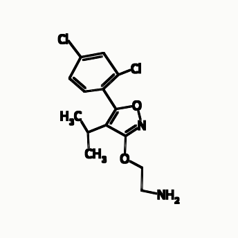 CC(C)c1c(OCCN)noc1-c1ccc(Cl)cc1Cl